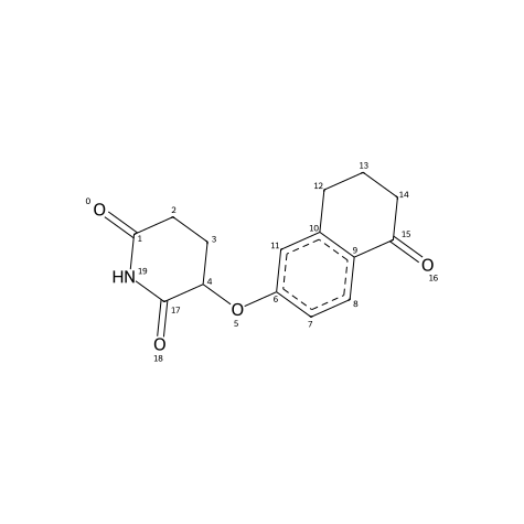 O=C1CCC(Oc2ccc3c(c2)CCCC3=O)C(=O)N1